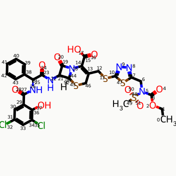 CCOC(=O)N(Cc1nnc(SCC2=C(C(=O)O)N3C(=O)C(NC(=O)[C@@H](NC(=O)c4cc(Cl)cc(Cl)c4O)c4ccccc4)[C@@H]3SC2)s1)S(C)(=O)=O